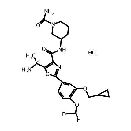 C[C@H](N)c1oc(-c2ccc(OC(F)F)c(OCC3CC3)c2)nc1C(=O)NC1CCCN(C(N)=O)C1.Cl